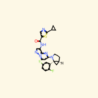 O=C(Nc1cnn2ccc(N3CC[C@H]4C[C@]43c3cc(F)ccc3F)nc12)c1cnc(C2CC2)s1